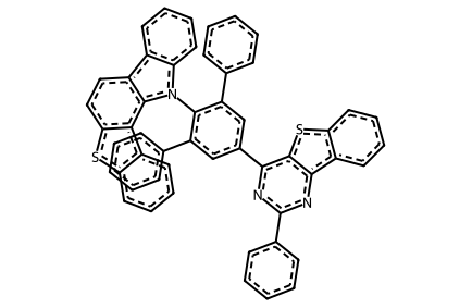 c1ccc(-c2nc(-c3cc(-c4ccccc4)c(-n4c5ccccc5c5ccc6sc7ccccc7c6c54)c(-c4ccccc4)c3)c3sc4ccccc4c3n2)cc1